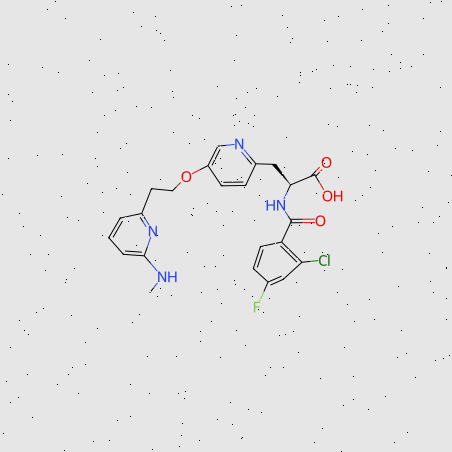 CNc1cccc(CCOc2ccc(C[C@H](NC(=O)c3ccc(F)cc3Cl)C(=O)O)nc2)n1